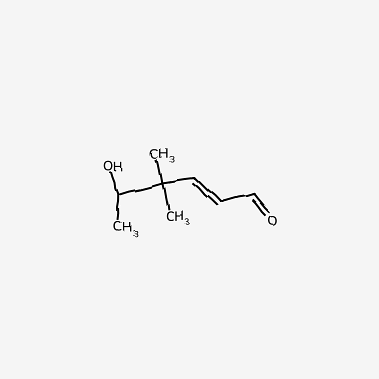 CC(O)C(C)(C)/C=C/C=O